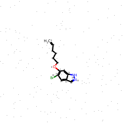 C=CCCCCOc1cc2[nH]ncc2cc1Br